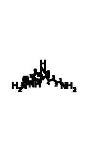 NCCCCc1c[nH]c2ccc(NC(N)=O)cc12